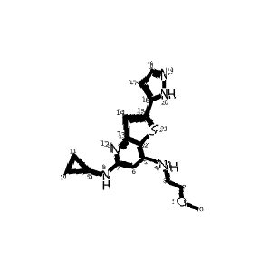 COCCNc1cc(NC2CC2)nc2cc(-c3ccn[nH]3)sc12